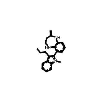 C=C1CCNc2c(cccc2-c2c(CCC)c3ccccc3n2C)N1